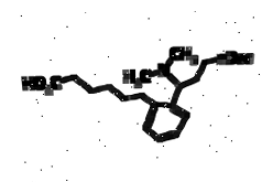 CCCCCCCCCCCCC(c1ccccc1CCCCCC(=O)O)N(C)C